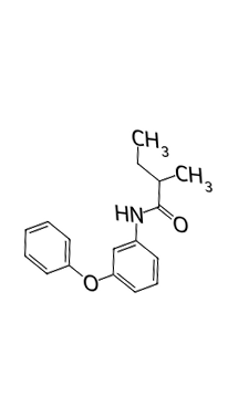 CCC(C)C(=O)Nc1cccc(Oc2ccccc2)c1